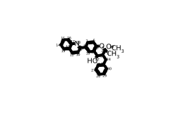 COC1(C)Oc2ccc(-c3ccc4ccccc4n3)cc2C(O)C1Cc1ccccc1